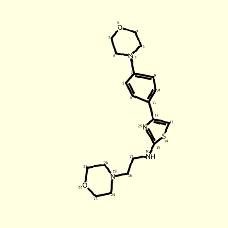 c1cc(N2CCOCC2)ccc1-c1csc(NCCN2CCOCC2)n1